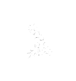 C[C@@H]1CN(c2cc(F)c(-c3cnc(N4CCOC[C@@H]4C)nc3)cc2NC(=O)c2c[nH]c(=O)cc2C(F)F)C[C@H](C)N1C